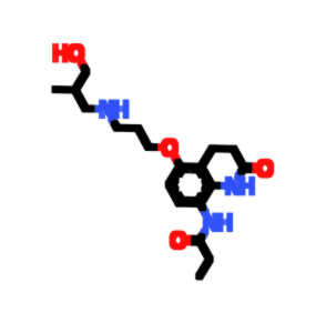 CCC(=O)Nc1ccc(OCCCNCC(C)CO)c2c1NC(=O)CC2